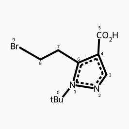 CC(C)(C)n1ncc(C(=O)O)c1CCBr